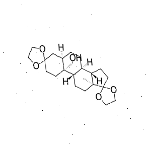 C[C@]12CC[C@H]3[C@@H](CC[C@@H]4CC5(CC[C@@]43CO)OCCO5)[C@@H]1CCC21OCCO1